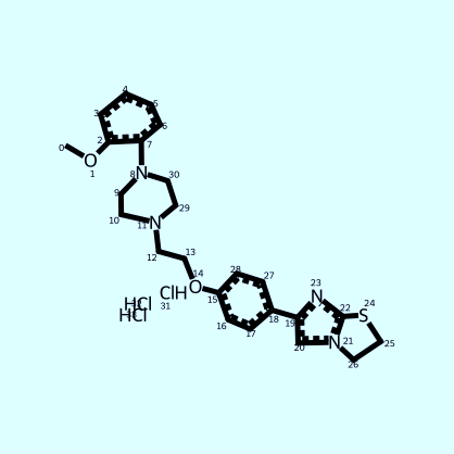 COc1ccccc1N1CCN(CCOc2ccc(-c3cn4c(n3)SCC4)cc2)CC1.Cl.Cl.Cl